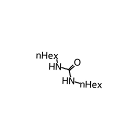 CCCCCCNC(=O)NCCCCCC